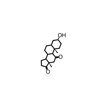 C[C@]12CC[C@H](O)CC1CCC1C2C(=O)C[C@]2(C)C(=O)CCC12